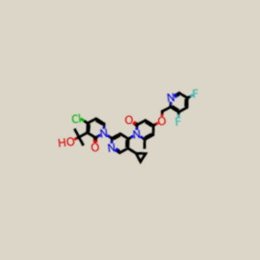 Cc1cc(OCc2ncc(F)cc2F)cc(=O)n1-c1cc(-n2ccc(Cl)c(C(C)(C)O)c2=O)ncc1C1CC1